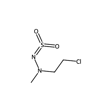 CN(CCCl)N=S(=O)=O